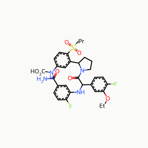 CCOc1cc(C(Nc2cc(C(N)=O)ccc2F)C(=O)N2CCCC2c2cc(NC(=O)O)ccc2S(=O)(=O)C(C)C)ccc1F